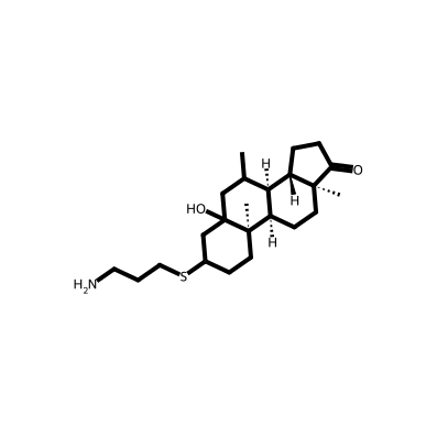 CC1CC2(O)CC(SCCCN)CC[C@]2(C)[C@@H]2CC[C@]3(C)C(=O)CC[C@H]3[C@H]12